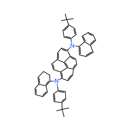 CC(C)(C)c1ccc(N(C2=c3ccccc3=CCC2)c2ccc3ccc4c(N(c5ccc(C(C)(C)C)cc5)c5cccc6ccccc56)ccc5ccc2c3c54)cc1